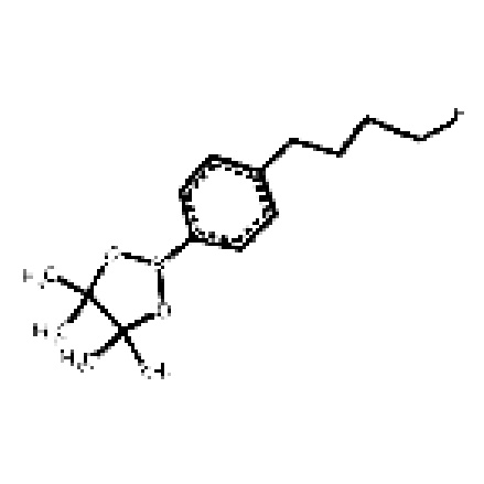 CC1(C)OB(c2ccc(CCCCF)cc2)OC1(C)C